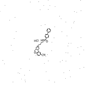 Cl.N#Cc1ccc2c(c1)C1CN(CCCCNC(=O)c3ccc(-c4ccccc4)cc3)CC1CO2